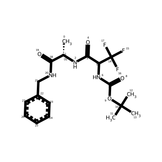 C[C@H](NC(=O)C(NC(=O)OC(C)(C)C)C(F)(F)F)C(=O)NCc1ccccc1